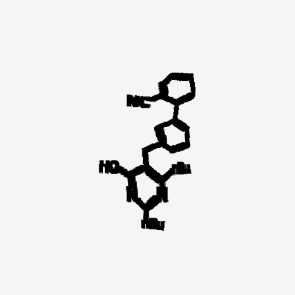 CCCCc1nc(O)c(Cc2cccc(-c3ccccc3C#N)c2)c(CCCC)n1